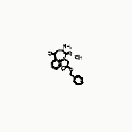 Cl.N[C@H]1CC(=O)c2ccccc2N(CC(=O)OCc2ccccc2)C1=O